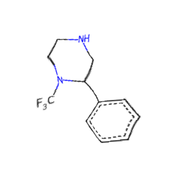 FC(F)(F)N1CCNCC1c1ccccc1